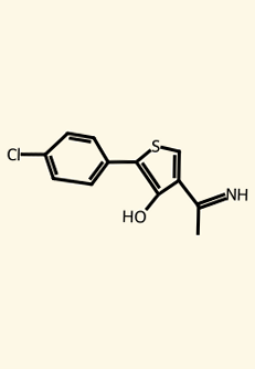 CC(=N)c1csc(-c2ccc(Cl)cc2)c1O